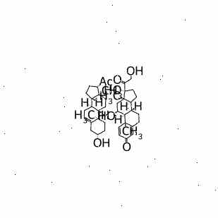 CC(=O)[C@H]1CC[C@H]2[C@@H]3CC=C4C[C@@H](O)CC[C@]4(C)[C@H]3CC[C@]12C.C[C@]12C=CC(=O)C=C1CC[C@@H]1[C@@H]2[C@@H](O)C[C@@]2(C)[C@H]1CC[C@]2(O)C(=O)CO